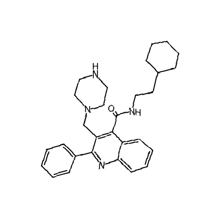 O=C(NCCC1CCCCC1)c1c(CN2CCNCC2)c(-c2ccccc2)nc2ccccc12